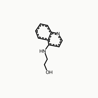 OCCNc1ccnc2ccccc12